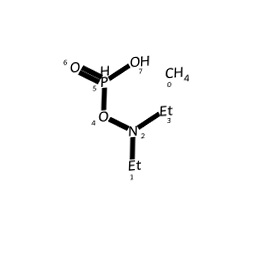 C.CCN(CC)O[PH](=O)O